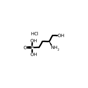 Cl.N[C@H](CO)CCP(=O)(O)O